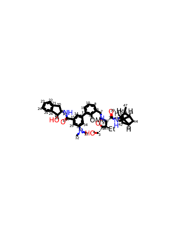 CC[C@H]1[C@H](CO)ON(Cc2cccc(-c3cc(C(=O)N[C@@H]4Cc5ccccc5[C@@H]4O)cc(N(C)C)c3)c2OC)[C@@H]1C(=O)N[C@H]1C[C@H]2C[C@@H]([C@@H]1C)C2(C)C